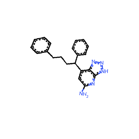 Nc1cc(C(CCCc2ccccc2)c2ccccc2)c2nn[nH]c2n1